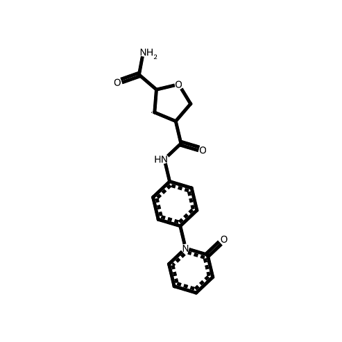 NC(=O)C1[CH]C(C(=O)Nc2ccc(-n3ccccc3=O)cc2)CO1